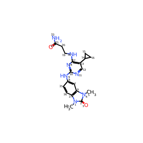 Cn1c(=O)n(C)c2cc(Nc3ncc(C4CC4)c(NCCC(N)=O)n3)ccc21